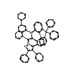 c1ccc(-c2cccc(N(c3cccc4c3-c3ccccc3C4(c3ccccc3)c3ccccc3)c3c(-c4ccccc4)n4nc(-c5ccccc5)c(-c5ccccc5)c4c4ccccc34)c2)cc1